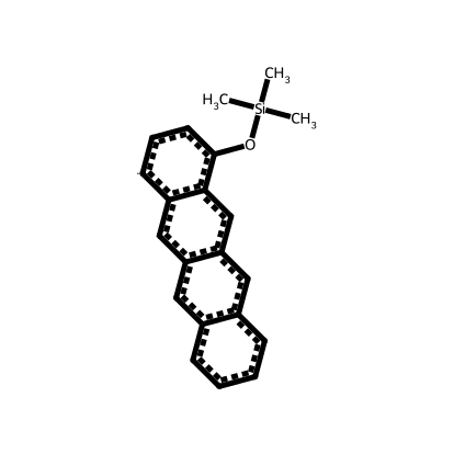 C[Si](C)(C)Oc1cc[c]c2cc3cc4ccccc4cc3cc12